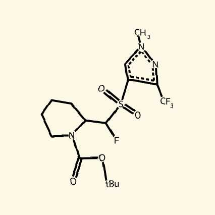 Cn1cc(S(=O)(=O)C(F)C2CCCCN2C(=O)OC(C)(C)C)c(C(F)(F)F)n1